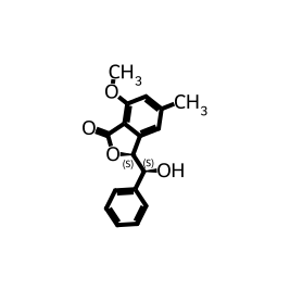 COc1cc(C)cc2c1C(=O)O[C@@H]2[C@@H](O)c1ccccc1